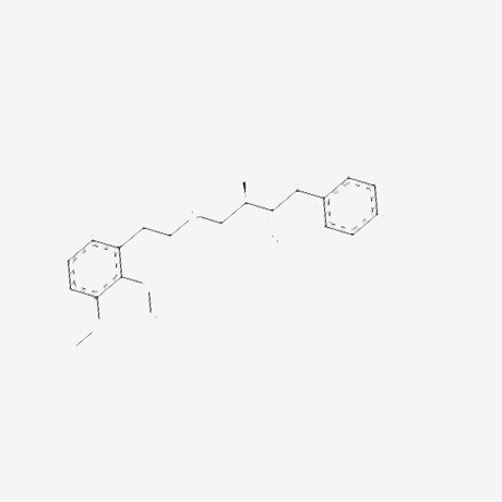 COc1cccc(CCNC[C@@H](O)[C@@H](N)Cc2ccccc2)c1OC.Cl.Cl